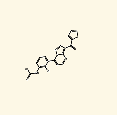 CCc1c(NC(=O)S)cccc1-c1ccnc2c(C(=O)c3cccs3)cnn12